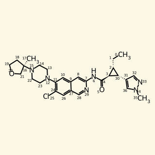 CC[C@H]1[C@H](C(=O)Nc2cc3cc(N4CCN([C@]5(C)CCOC5)CC4)c(Cl)cc3cn2)[C@H]1c1cnn(C)c1